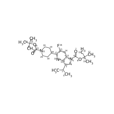 CC(C)c1cn(C(=O)OC(C)(C)C)c2cc(F)c(C3CCN(C(=O)OC(C)(C)C)CC3)nc12